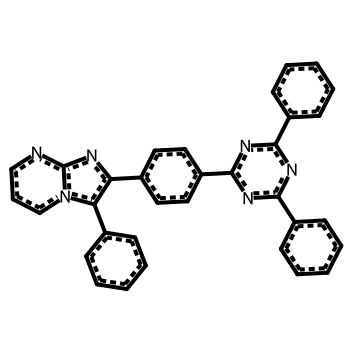 c1ccc(-c2nc(-c3ccccc3)nc(-c3ccc(-c4nc5ncccn5c4-c4ccccc4)cc3)n2)cc1